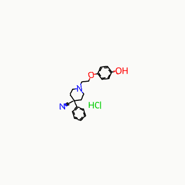 Cl.N#CC1(c2ccccc2)CCN(CCOc2ccc(O)cc2)CC1